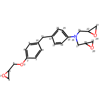 c1cc(OCC2CO2)ccc1Cc1ccc(N(CC2CO2)CC2CO2)cc1